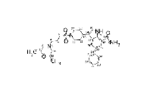 CC1CN(CCCS(=O)(=O)N2CCC(c3c[nH]c4c(C(N)=O)cc(-c5ccccc5)cc34)CC2)CC(C)O1